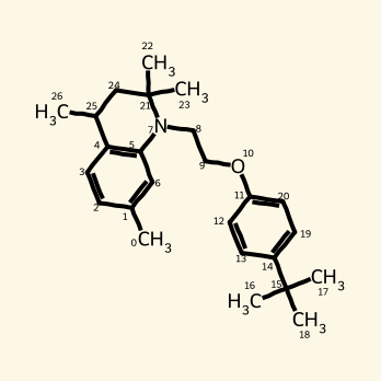 Cc1ccc2c(c1)N(CCOc1ccc(C(C)(C)C)cc1)C(C)(C)CC2C